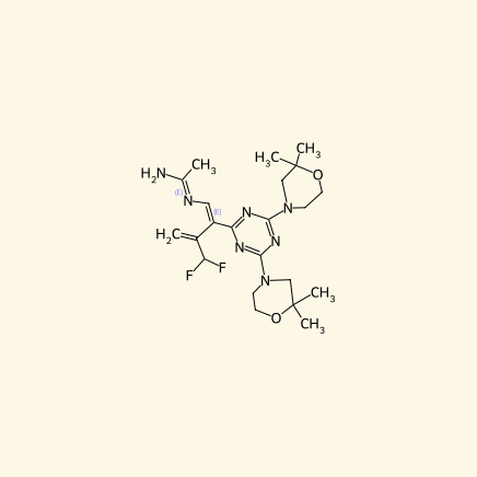 C=C(/C(=C\N=C(/C)N)c1nc(N2CCOC(C)(C)C2)nc(N2CCOC(C)(C)C2)n1)C(F)F